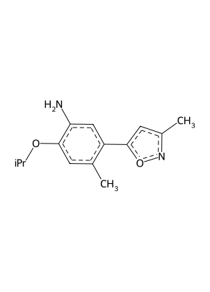 Cc1cc(-c2cc(N)c(OC(C)C)cc2C)on1